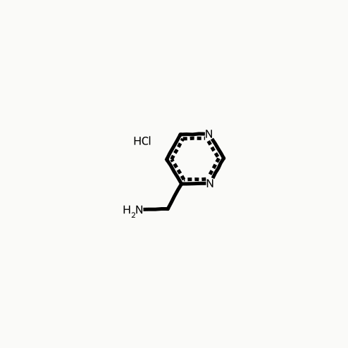 Cl.NCc1ccncn1